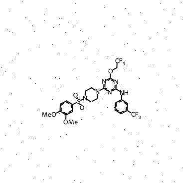 COc1ccc(S(=O)(=O)N2CCN(c3nc(Nc4cccc(C(F)(F)F)c4)nc(OCC(F)(F)F)n3)CC2)cc1OC